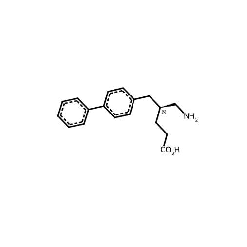 NC[C@@H](CCC(=O)O)Cc1ccc(-c2ccccc2)cc1